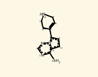 Nc1ncnn2c(C3=CCNCC3)ccc12